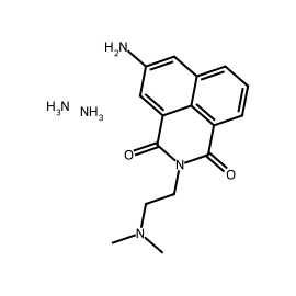 CN(C)CCN1C(=O)c2cccc3cc(N)cc(c23)C1=O.N.N